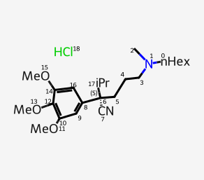 CCCCCCN(C)CCC[C@@](C#N)(c1cc(OC)c(OC)c(OC)c1)C(C)C.Cl